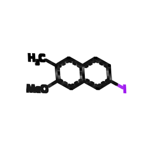 COc1cc2cc(I)ccc2cc1C